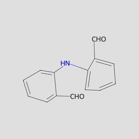 O=Cc1ccccc1Nc1ccccc1C=O